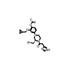 CC(C)C[C@H]1CN(c2ccc(OC(F)F)c(OCC3CC3)c2)CCN1C(=O)Cc1c[nH]cn1